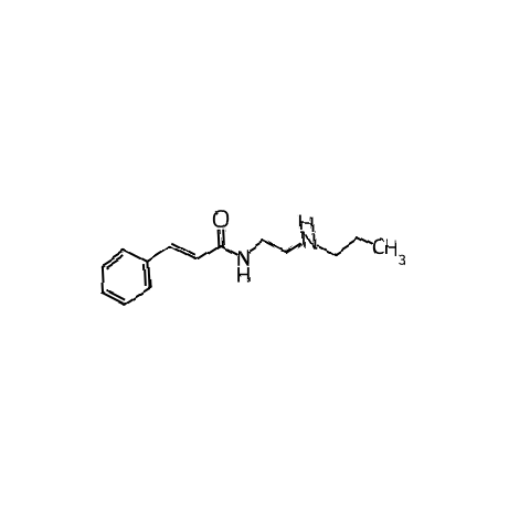 CCCNCCNC(=O)C=Cc1ccccc1